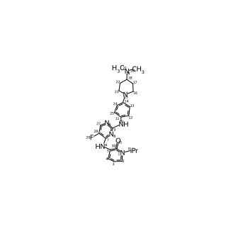 CC(C)n1cccc(Nc2nc(Nc3ccc(N4CCC(N(C)C)CC4)cc3)ncc2F)c1=O